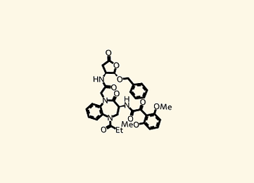 CCC(=O)N1C[C@H](NC(=O)C(=O)c2c(OC)cccc2OC)C(=O)N(CC(=O)N[C@H]2CC(=O)O[C@H]2OCc2ccccc2)c2ccccc21